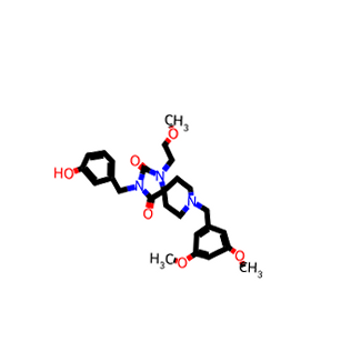 COCCN1C(=O)N(Cc2cccc(O)c2)C(=O)C12CCN(Cc1cc(OC)cc(OC)c1)CC2